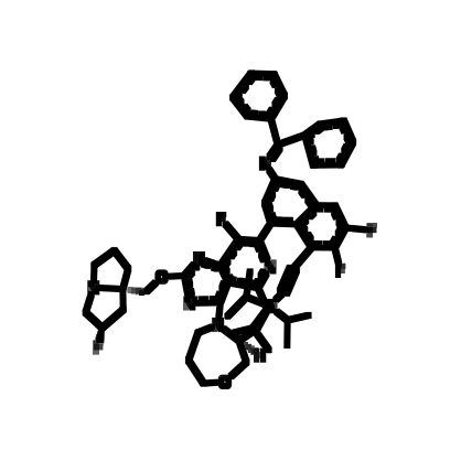 CC(C)[Si](C#Cc1c(F)c(F)cc2cc(N=C(c3ccccc3)c3ccccc3)cc(-c3nc4c5c(nc(OC[C@@]67CCCN6C[C@H](F)C7)nc5c3F)N3CCCOC[C@@H]3CC4)c12)(C(C)C)C(C)C